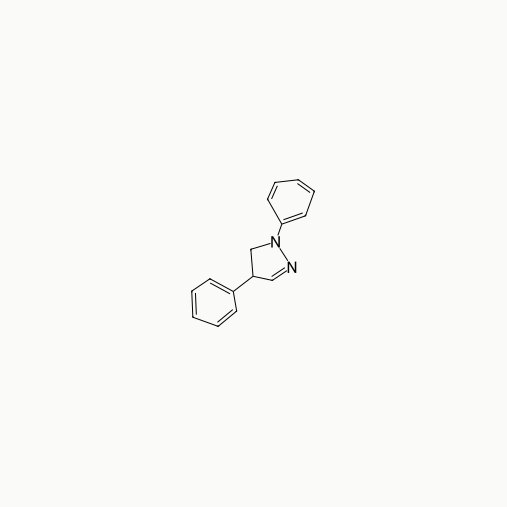 C1=NN(c2ccccc2)CC1c1ccccc1